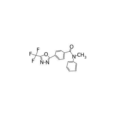 CN(C(=O)c1ccc(-c2nnc(C(F)(F)F)o2)cc1)c1ccccc1